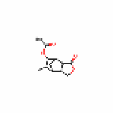 CCC(C)C(=O)OC1C(C)C2CC1C1C(=O)OCC21